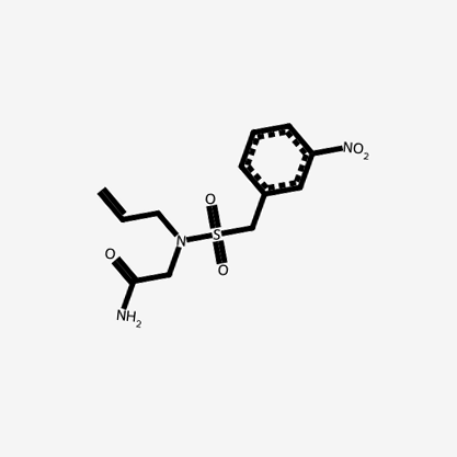 C=CCN(CC(N)=O)S(=O)(=O)Cc1cccc([N+](=O)[O-])c1